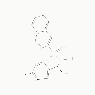 CN([C@H](c1ccc(C(F)(F)F)cc1)C(F)(F)F)S(=O)(=O)C1=CC2=CCC=CN2C=C1